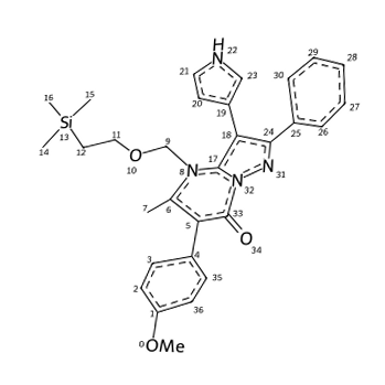 COc1ccc(-c2c(C)n(COCC[Si](C)(C)C)c3c(-c4cc[nH]c4)c(-c4ccccc4)nn3c2=O)cc1